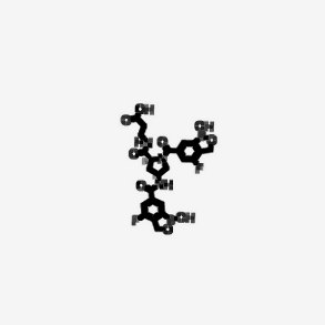 O=C(O)CCNC(=O)[C@@H]1C[C@H](NC(=O)c2cc(F)c3c(c2)B(O)OC3)CN1C(=O)c1cc(F)c2c(c1)B(O)OC2